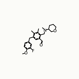 COc1ccc(Cc2cc(C=O)c(CN(C)C3CCCOC3)c(C)c2C)cc1F